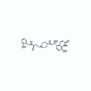 O=C(CCN1CCC(NC[C@@H](O)c2ccc(O)c3[nH]c(=O)ccc23)CC1)NCc1ccccc1O